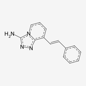 Nc1nnc2c(/C=C/c3ccccc3)cccn12